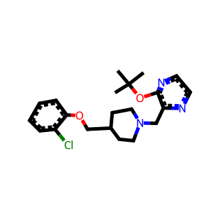 CC(C)(C)Oc1nccnc1CN1CCC(COc2ccccc2Cl)CC1